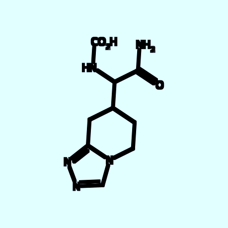 NC(=O)C(NC(=O)O)C1CCn2cnnc2C1